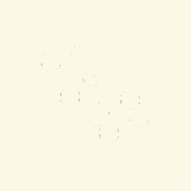 c1ccc2c(c1)Oc1ccc(-c3nc(-c4cccc5ccccc45)c4ccccc4n3)cc1C21c2ccccc2-c2ccccc21